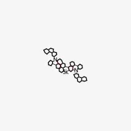 C[Si]1(C)c2cc(N(c3ccc4ccc5ccccc5c4c3)c3ccccc3-c3ccccc3)ccc2-c2cc3ccc(N(c4ccc5ccc6ccccc6c5c4)c4ccccc4-c4ccccc4)cc3c3cccc1c23